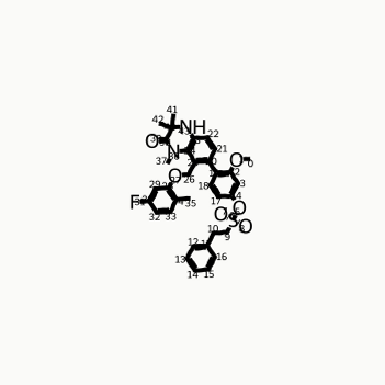 COc1cc(OS(=O)(=O)CCc2ccccc2)ccc1-c1ccc2c(c1COc1cc(F)ccc1C)N(C)C(=O)C(C)(C)N2